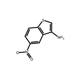 Nc1csc2ccc([N+](=O)[O-])cc12